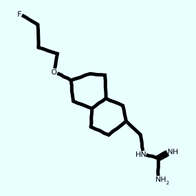 N=C(N)NCC1CCC2CC(OCCCF)CCC2C1